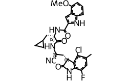 COc1cccc2[nH]c(C(=O)N[C@@H](CC3CC3)C(=O)N[C@H](C#N)C[C@H]3C(=O)Nc4c(F)cc(C)c(Cl)c43)cc12